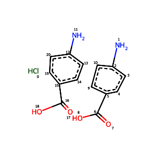 Cl.Nc1ccc(C(=O)O)cc1.Nc1ccc(C(=O)O)cc1